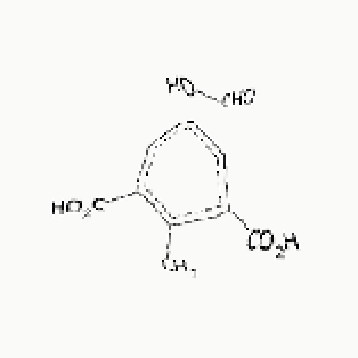 Cc1c(C(=O)O)cccc1C(=O)O.O=CO